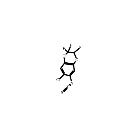 FC1Oc2cc(N=C=S)c(Cl)cc2OC1(F)F